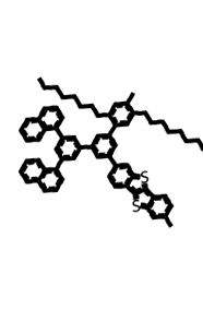 CCCCCCCCc1cc(-c2cc(-c3cc(-c4cccc5ccccc45)cc(-c4cccc5ccccc45)c3)cc(-c3ccc4c(c3)sc3c5ccc(C)cc5sc43)c2)c(CCCCCCCC)cc1C